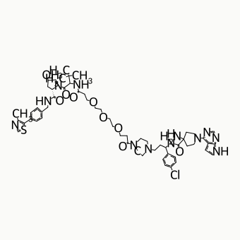 Cc1ncsc1-c1ccc(CNC(=O)[C@@H]2C[C@@H](O)CN2C(=O)C(NC(=O)CCOCCOCCOCCC(=O)N2CCN(CCC(NC(=O)C3(N)CCN(c4ncnc5[nH]ccc45)CC3)c3ccc(Cl)cc3)CC2)C(C)(C)C)cc1